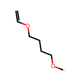 [CH2]OCCCCOC=C